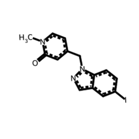 Cn1ccc(Cn2ncc3cc(I)ccc32)cc1=O